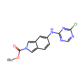 CC(C)(C)OC(=O)n1cc2ccc(Nc3ncnc(Cl)n3)cc2c1